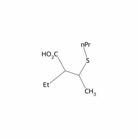 CCCSC(C)C(CC)C(=O)O